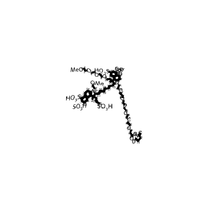 COCCOCCOCCOCCC1(C)\C(=C/C=C/C=C/C=C/C2=[N+](CCOC)c3ccc4c(S(=O)(=O)O)cc(S(=O)(=O)O)cc4c3C2(C)CCCS(=O)(=O)O)N(CCOCCOCCOCCOCCOCCOCCC(=O)ON2C(=O)CCC2=O)c2ccc3c(S(=O)(=O)[O-])cc(S(=O)(=O)O)cc3c21